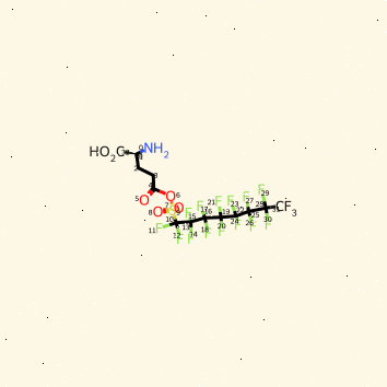 N[C@@H](CCC(=O)OS(=O)(=O)C(F)(F)C(F)(F)C(F)(F)C(F)(F)C(F)(F)C(F)(F)C(F)(F)C(F)(F)F)C(=O)O